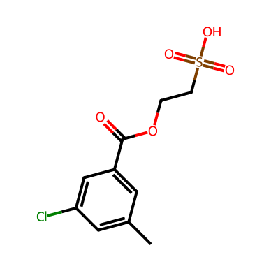 Cc1cc(Cl)cc(C(=O)OCCS(=O)(=O)O)c1